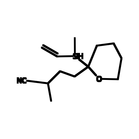 C=C[SiH](C)C1(CCC(C)C#N)CCCCO1